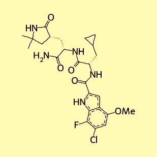 COc1cc(Cl)c(F)c2[nH]c(C(=O)N[C@@H](CC3CC3)C(=O)N[C@@H](C[C@@H]3CC(C)(C)NC3=O)C(N)=O)cc12